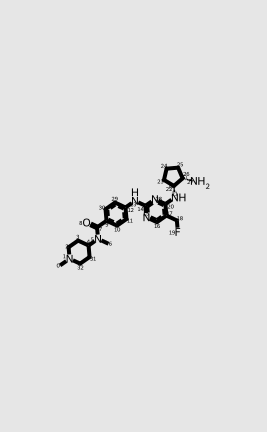 CN1CCC(N(C)C(=O)c2ccc(Nc3ncc(CF)c(N[C@@H]4CCC[C@@H]4N)n3)cc2)CC1